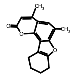 Cc1cc(=O)oc2c1cc(C)c1oc3c(c12)CCCC3